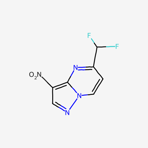 O=[N+]([O-])c1cnn2ccc(C(F)F)nc12